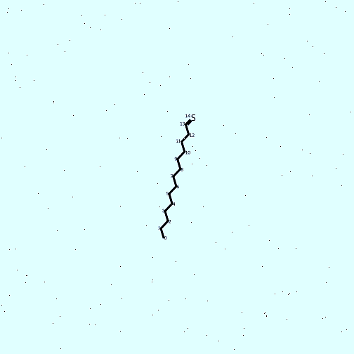 CCCCCCCCCCCCCC=S